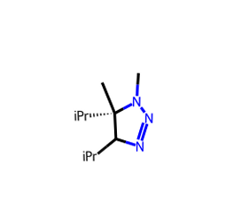 CC(C)C1N=NN(C)[C@@]1(C)C(C)C